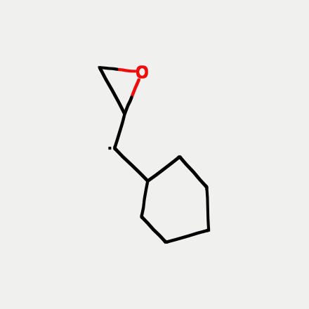 [CH](C1CCCCC1)C1CO1